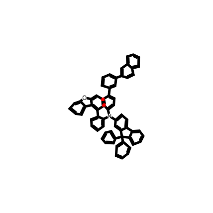 c1ccc(C2(c3ccccc3)c3ccccc3-c3ccc(N(c4ccc(-c5cccc(-c6ccc7ccccc7c6)c5)cc4)c4ccccc4-c4cccc5oc6ccccc6c45)cc32)cc1